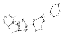 O=c1[nH]c(C2CCCN(CC3CCCCC3)C2)nn1-c1ccccn1